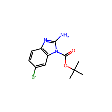 CC(C)(C)OC(=O)n1c(N)nc2ccc(Br)cc21